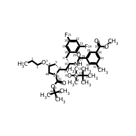 CCCO[C@@H]1C[C@H]([C@@H](O[Si](C)(C)C(C)(C)C)[C@H](Cc2cc(F)cc(F)c2)NC(=O)c2cc(C)cc(C(=O)OC)c2)N(C(=O)OC(C)(C)C)C1